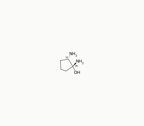 N[C@H]1CCC[C@@]1(N)O